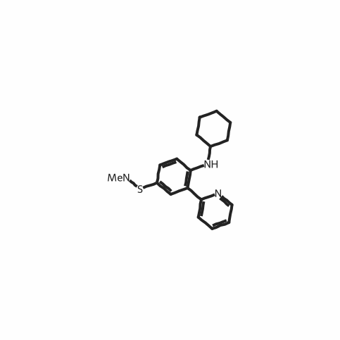 CNSc1ccc(NC2CCCCC2)c(-c2ccccn2)c1